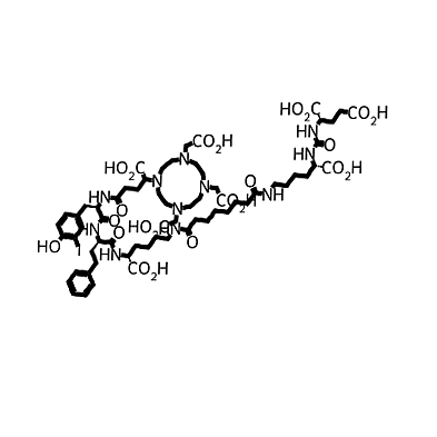 O=C(O)CC[C@H](NC(=O)N[C@@H](CCCCNC(=O)CCCCCCC(=O)NCCCC[C@@H](NC(=O)[C@@H](CCc1ccccc1)NC(=O)[C@@H](Cc1ccc(O)c(I)c1)NC(=O)CCC(C(=O)O)N1CCN(CC(=O)O)CCN(CC(=O)O)CCN(CC(=O)O)CC1)C(=O)O)C(=O)O)C(=O)O